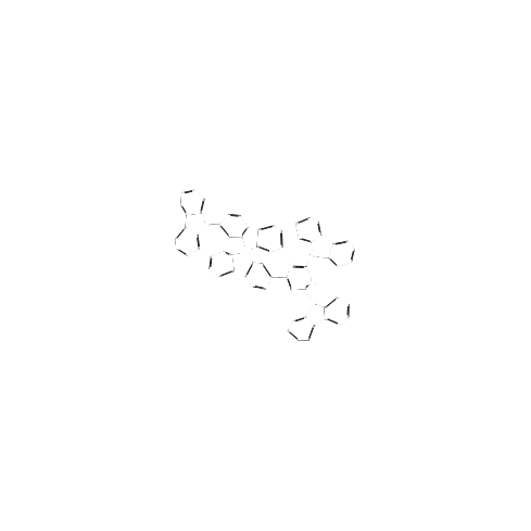 c1ccc([Si](c2ccccc2)(c2cccc(-c3cc(-n4c5ccccc5c5ccccc54)nc(-n4c5ccccc5c5ccccc54)n3)c2)c2cccc(-n3c4ccccc4c4ccccc43)c2)cc1